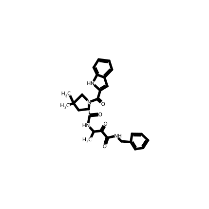 CC(NC(=O)[C@@H]1CC(C)(C)CN1C(=O)c1cc2ccccc2[nH]1)C(=O)C(=O)NCc1ccccc1